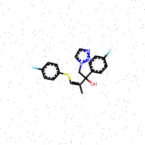 CC(=CSc1ccc(F)cc1)C(O)(Cn1ccnn1)c1ccc(F)cc1